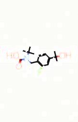 C[C@@H](c1ccc(C(C)(C)O)cc1F)N(C(=O)O)C(C)(C)C